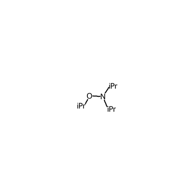 CC(C)ON(C(C)C)C(C)C